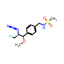 CO[C@H](c1ccc(CNS(C)(=O)=O)cc1)[C@@H](CF)N=[N+]=[N-]